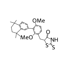 COc1ccc(CC2SC(=S)NC2=O)c(OC)c1-c1ccc2c(c1)C(C)(C)CCC2(C)C